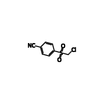 N#Cc1ccc(S(=O)(=O)CCl)cc1